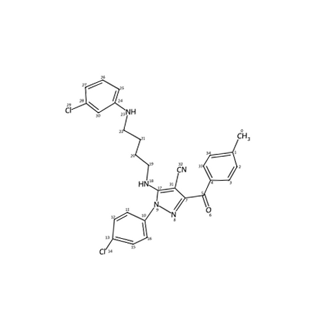 Cc1ccc(C(=O)c2nn(-c3ccc(Cl)cc3)c(NCCCCNc3cccc(Cl)c3)c2C#N)cc1